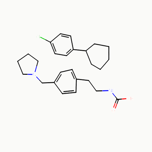 Clc1ccc(C2CCCCC2)cc1.O=C(O)NCCc1ccc(CN2CCCC2)cc1